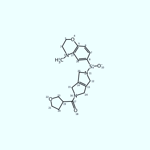 CN1CCOc2ccc([S+]([O-])N3CC4=C(CN(C(=O)C5CCOC5)C4)C3)cc21